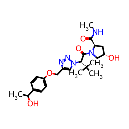 CNC(=O)[C@H]1C[C@H](O)CN1C(=O)[C@@H](n1cc(COc2ccc(C(C)O)cc2)nn1)C(C)(C)C